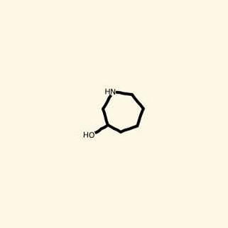 OC1CCCCNC1